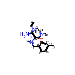 C=CN(C)/C(N)=C(\C(=O)N(C)CCC)N(C)Cc1ccc(C)cc1